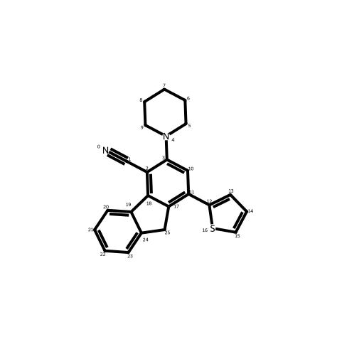 N#Cc1c(N2CCCCC2)cc(-c2cccs2)c2c1-c1ccccc1C2